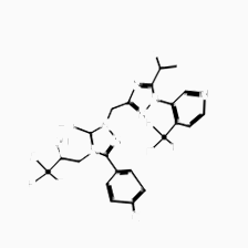 CC(F)c1nc(CN2N=C(c3ccc(Cl)cc3)N(C[C@H](O)C(F)(F)F)C2O)nn1-c1cnccc1C(F)(F)F